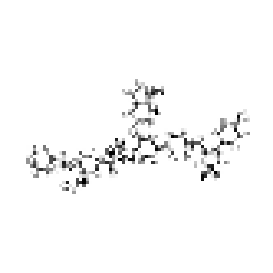 O=C(NS(=O)(=O)c1ccc(NCC2CCOCC2)c([N+](=O)[O-])c1)c1ccc(N2CCN(C[C@@H]3CC(F)(F)CN3c3ccc(Cl)cc3)CC2)cc1Oc1cnc2[nH]ccc2c1